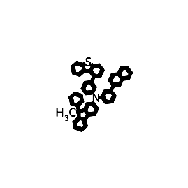 CC1(c2ccccc2)c2ccccc2-c2ccc(N(c3cccc(-c4ccc5ccccc5c4)c3)c3cccc(-c4cccc5sc6ccccc6c45)c3)cc21